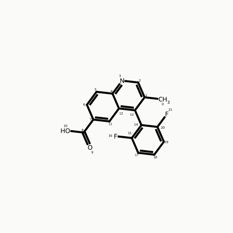 Cc1cnc2ccc(C(=O)O)cc2c1-c1c(F)cccc1F